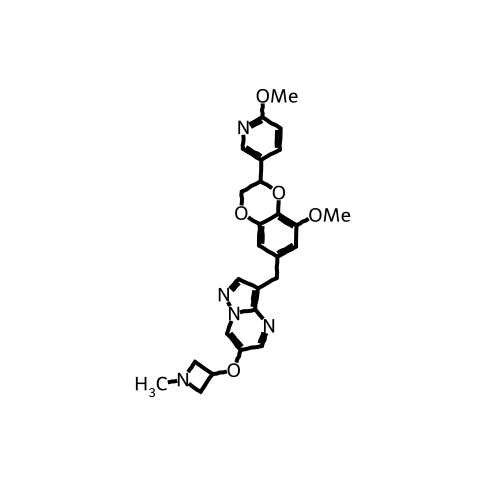 COc1ccc(C2COc3cc(Cc4cnn5cc(OC6CN(C)C6)cnc45)cc(OC)c3O2)cn1